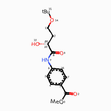 COC(=O)c1ccc(NC(=O)[C@H](O)CCOC(C)(C)C)cc1